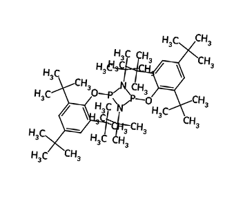 CC(C)(C)c1cc(C(C)(C)C)c(OP2N(C(C)(C)C)P(Oc3c(C(C)(C)C)cc(C(C)(C)C)cc3C(C)(C)C)N2C(C)(C)C)c(C(C)(C)C)c1